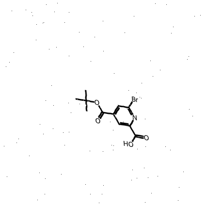 CC(C)(C)OC(=O)c1cc(Br)nc(C(=O)O)c1